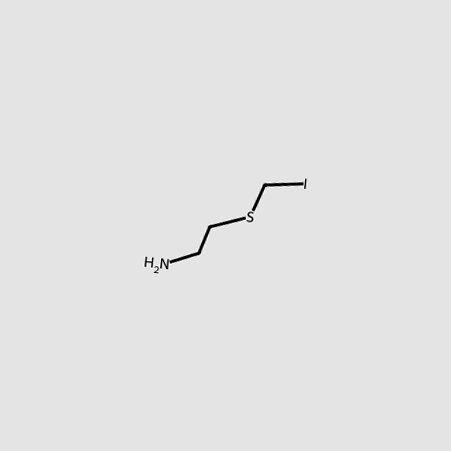 NCCSCI